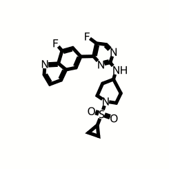 O=S(=O)(C1CC1)N1CCC(Nc2ncc(F)c(-c3cc(F)c4ncccc4c3)n2)CC1